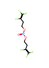 O=[N+](OCCC(F)=C(F)F)OCCC(F)=C(F)F